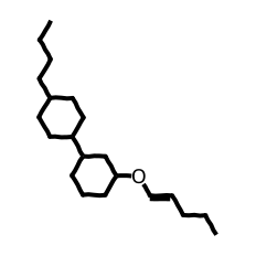 CCC/C=C/OC1CCCC(C2CCC(CCCC)CC2)C1